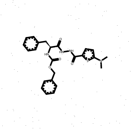 CN(C)c1ccc(C(=O)NNC(=O)[C@H](Cc2ccccc2)NC(=O)OCc2ccccc2)s1